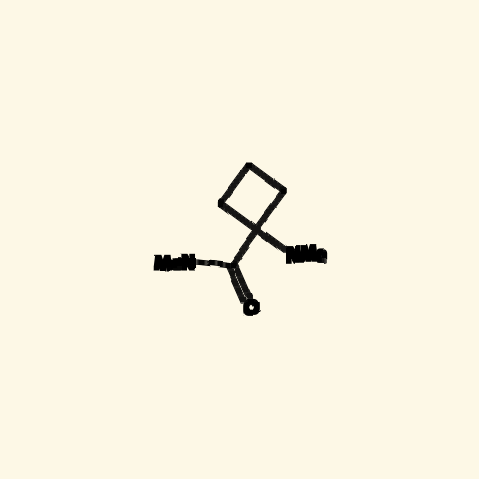 CNC(=O)C1(NC)CCC1